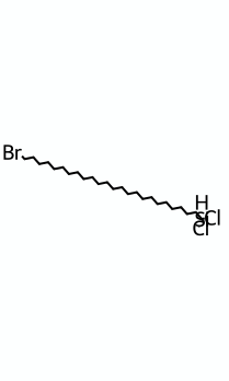 Cl[SiH](Cl)CCCCCCCCCCCCCCCCCCCCCCCCBr